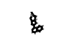 CN1CC2C=C(c3cccc4ccccc34)CC2C1